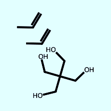 C=CC.C=CC.OCC(CO)(CO)CO